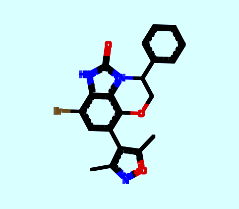 Cc1noc(C)c1-c1cc(Br)c2[nH]c(=O)n3c2c1OCC3c1ccccc1